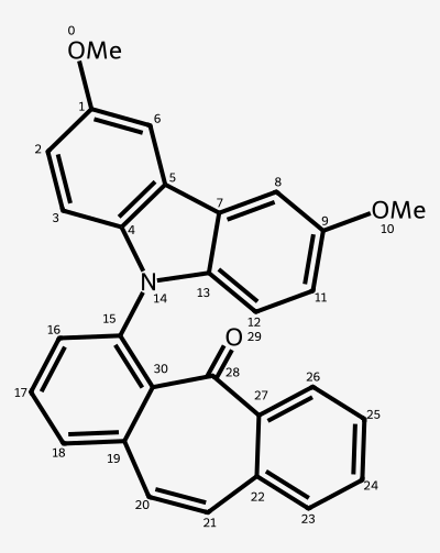 COc1ccc2c(c1)c1cc(OC)ccc1n2-c1cccc2ccc3ccccc3c(=O)c12